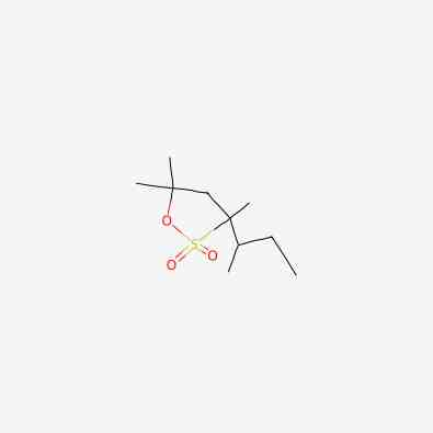 CCC(C)C1(C)CC(C)(C)OS1(=O)=O